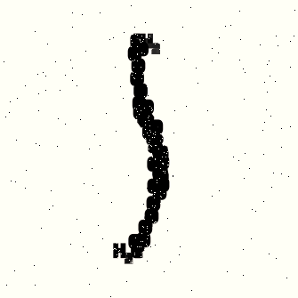 C=CC(=O)OCCOCCOCCOCCOC(=O)Oc1ccc(C(=O)Oc2ccc3c(c2)Cc2cc(OC(=O)c4ccc(OC(=O)OCCOCCOCCOCCOC(=O)C=C)cc4)ccc2-3)cc1